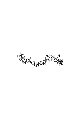 CCN(C)S(=O)(=O)Nc1ccc(F)c(Oc2ccc3ncn([C@H]4CN(C)C5(CCN(C(=O)CC6(O)CCN(c7cc8c(cc7F)c(N7CCC(=O)NC7=O)nn8C)CC6)CC5)C4)c(=O)c3c2)c1C#N